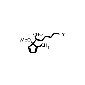 COC1(C(C=O)CCCCC(C)C)C=CC=C1C